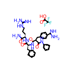 N=C(N)NCCC[C@H](NC(=O)[C@H](Cc1ccccc1)NC(=O)C(Cc1ccc(C(=N)N)cc1)C(=O)Nc1ccccc1)C(N)=O.O=C(O)C(F)(F)F